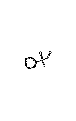 O=NS(=O)(=O)c1ccccc1